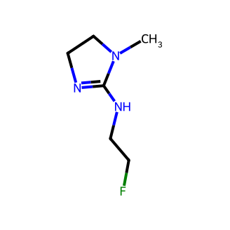 CN1CCN=C1NCCF